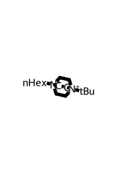 CCCCCC[N+]12CC[N+](C(C)(C)C)(CC1)CC2